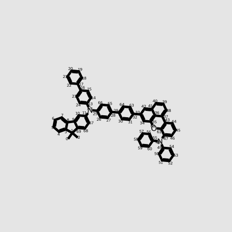 CC1(C)c2ccccc2-c2cc(N(c3ccc(-c4ccccc4)cc3)c3ccc(-c4ccc(-c5cc6c7c(cccc7c5)-c5cccc(N(c7ccccc7)c7ccccc7)c5O6)cc4)cc3)ccc21